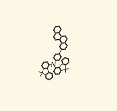 CC1(C)c2ccccc2-c2c(N(c3ccc(-c4ccc5ccc6c7ccccc7ccc6c5c4)cc3)c3cccc4c3-c3ccccc3C4(C)C)cccc21